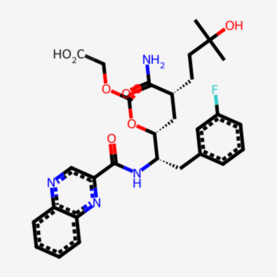 CC(C)(O)CC[C@H](C[C@@H](OC(=O)OCC(=O)O)[C@H](Cc1cccc(F)c1)NC(=O)c1cnc2ccccc2n1)C(N)=O